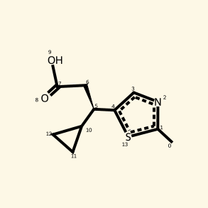 Cc1ncc([C@H](CC(=O)O)C2CC2)s1